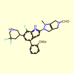 COc1ccccc1-c1cc(C2CNCC(F)(F)C2)c(F)c2[nH]c(N3CC4=C(CN(C=O)C4)N3C)cc12